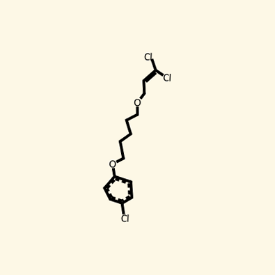 ClC(Cl)=CCOCCCCCOc1ccc(Cl)cc1